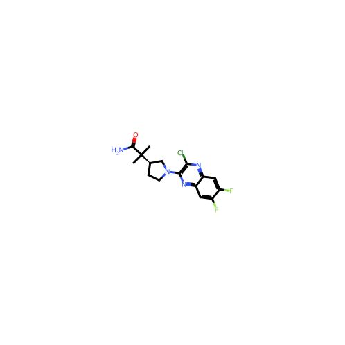 CC(C)(C(N)=O)[C@@H]1CCN(c2nc3cc(F)c(F)cc3nc2Cl)C1